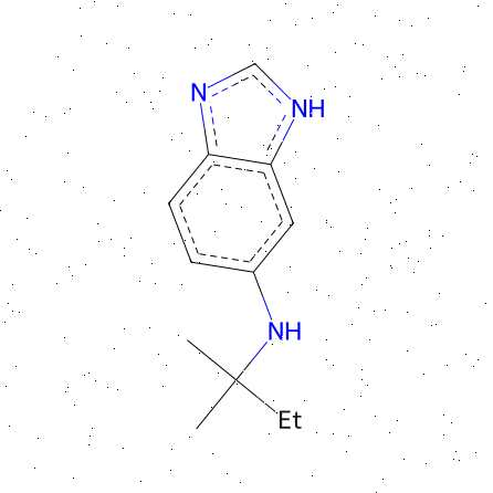 CCC(C)(C)Nc1ccc2nc[nH]c2c1